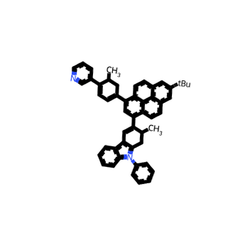 CC1CC(c2cc(C3=Cc4c(n(-c5ccccc5)c5ccccc45)CC3C)c3ccc4cc(C(C)(C)C)cc5ccc2c3c54)=CC=C1c1cccnc1